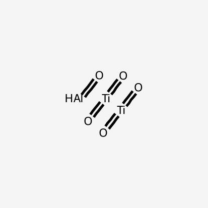 [O]=[AlH].[O]=[Ti]=[O].[O]=[Ti]=[O]